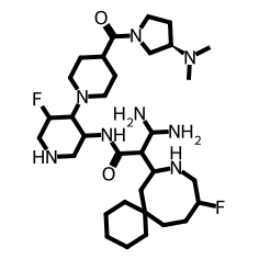 CN(C)[C@@H]1CCN(C(=O)C2CCN(C3C(F)CNCC3NC(=O)C(C(N)N)C3CC4(CCCCC4)CCC(F)CN3)CC2)C1